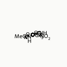 CON(C)C(=O)Nc1ccc(OC2(C(F)(F)F)C=CNC([N+](=O)[O-])=N2)cc1